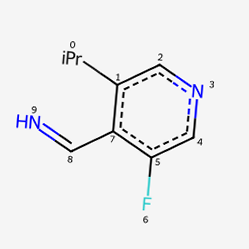 CC(C)c1cncc(F)c1C=N